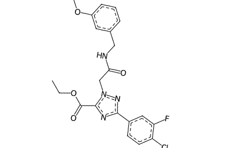 CCOC(=O)c1nc(-c2ccc(Cl)c(F)c2)nn1CC(=O)NCc1cccc(OC)c1